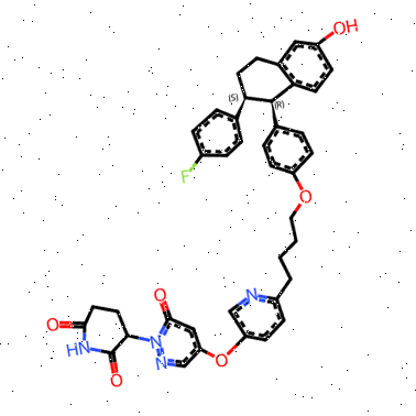 O=C1CCC(n2ncc(Oc3ccc(CCCCOc4ccc([C@@H]5c6ccc(O)cc6CC[C@@H]5c5ccc(F)cc5)cc4)nc3)cc2=O)C(=O)N1